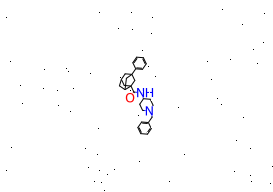 O=C(NC1CCN(Cc2ccccc2)CC1)C12CC3CC1CC(c1ccccc1)(C3)C2